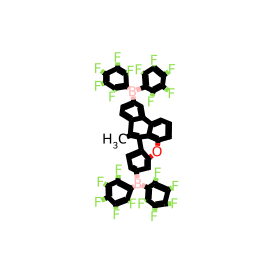 Cc1c2c3c(cccc3c3cc(B(c4c(F)c(F)c(F)c(F)c4F)c4c(F)c(F)c(F)c(F)c4F)ccc13)Oc1cc(B(c3c(F)c(F)c(F)c(F)c3F)c3c(F)c(F)c(F)c(F)c3F)ccc1-2